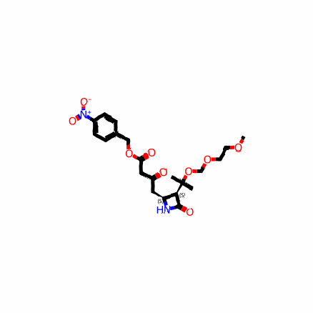 COCCOCOC(C)(C)[C@H]1C(=O)N[C@H]1CC(=O)CC(=O)OCc1ccc([N+](=O)[O-])cc1